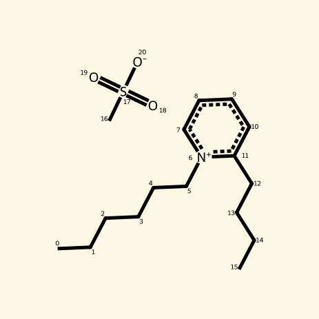 CCCCCC[n+]1ccccc1CCCC.CS(=O)(=O)[O-]